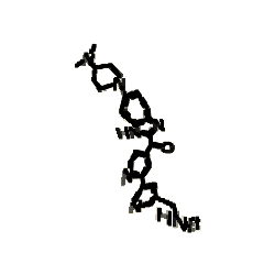 CCNCc1cncc(-c2cc(C(=O)c3nc4ccc(N5CCC(N(C)C)CC5)cc4[nH]3)ccn2)c1